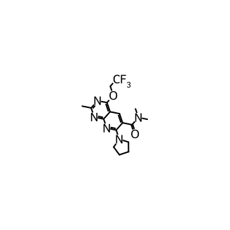 Cc1nc(OCC(F)(F)F)c2cc(C(=O)N(C)C)c(N3CCCC3)nc2n1